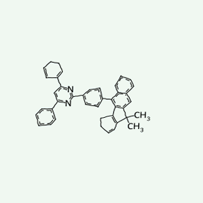 CC1(C)C2=C(CCC=C2)c2c1cc1ccccc1c2-c1ccc(-c2nc(C3=CCCC=C3)cc(-c3ccccc3)n2)cc1